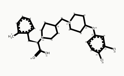 Cc1ccccc1C[C@H](C(=O)O)N1CCC(CN2CCC(Oc3ccc(Cl)c(Cl)c3)CC2)CC1